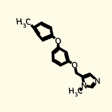 Cc1ccc(Oc2cccc(OCc3cncn3C)c2)cc1